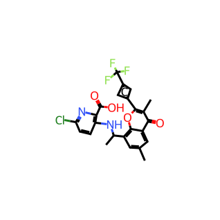 Cc1cc(C(C)Nc2ccc(Cl)nc2C(=O)O)c2oc(C34CC(C(F)(F)F)(C3)C4)c(C)c(=O)c2c1